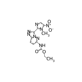 CCOC(=O)Nc1ccc2nnc(-c3ncc([N+](=O)[O-])n3C)n2n1